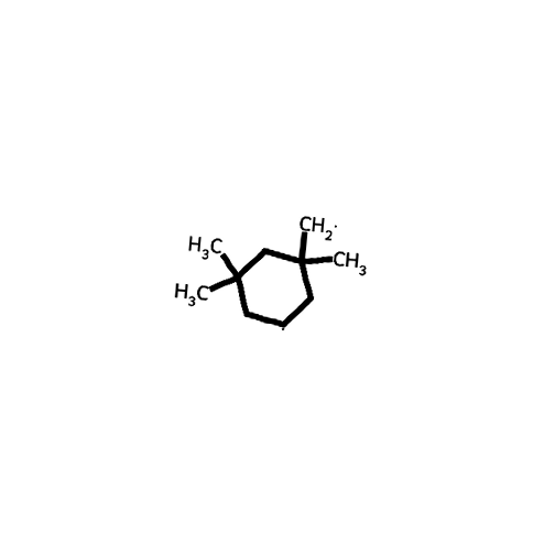 [CH2]C1(C)C[CH]CC(C)(C)C1